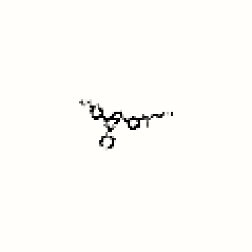 Nc1ncc(-c2nc(N3CCOCC3)nc3c2CCN3c2cccc(SNCCO)c2)cn1